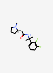 CN1CCC[C@H]1CC(=O)NC(C)(C)c1cccc(F)c1F